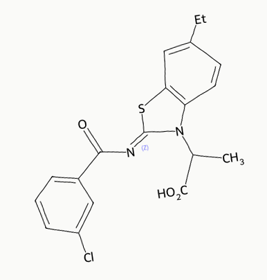 CCc1ccc2c(c1)s/c(=N\C(=O)c1cccc(Cl)c1)n2C(C)C(=O)O